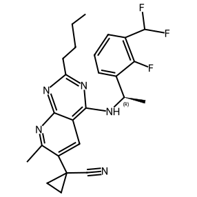 CCCCc1nc(N[C@H](C)c2cccc(C(F)F)c2F)c2cc(C3(C#N)CC3)c(C)nc2n1